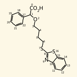 O=C(O)C(OCCCCSc1nc2ccccc2s1)c1ccccc1